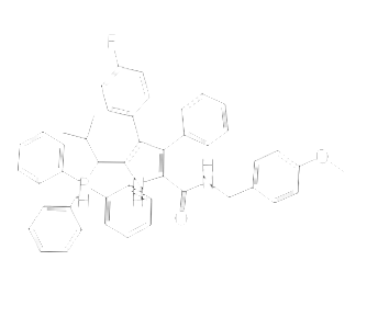 COc1ccc(CNC(=O)c2[nH]c(C(C(C)C)[PH](c3ccccc3)(c3ccccc3)c3ccccc3)c(-c3ccc(F)cc3)c2-c2ccccc2)cc1